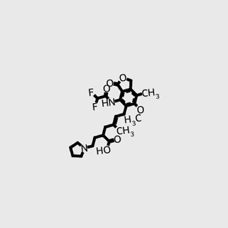 COc1c(C)c2c(c(NC(=O)C(F)F)c1C/C=C(\C)CC(CCN1CCCC1)C(=O)O)C(=O)OC2